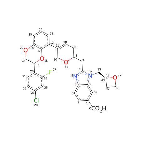 O=C(O)c1ccc2nc(CC3CC=C(c4cccc5c4OC(c4ccc(Cl)cc4F)CO5)CO3)n(C[C@@H]3CCO3)c2c1